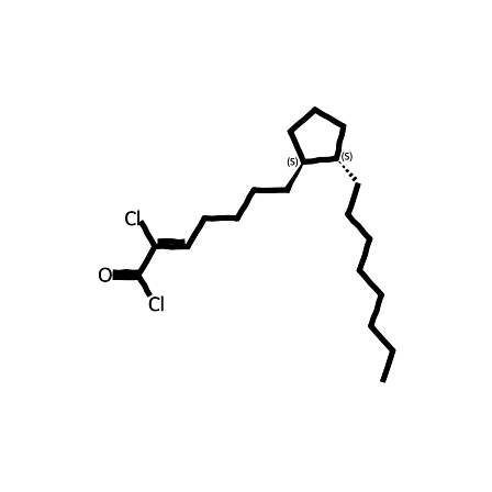 CCCCCCCC[C@H]1CCC[C@@H]1CCCCC=C(Cl)C(=O)Cl